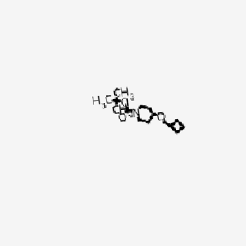 CC(C)(C)OC(=O)N1CCC(OCC2CCC2)CC1